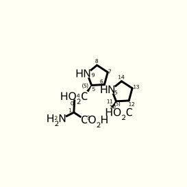 CC(N)C(=O)O.O=C(O)[C@@H]1CCCN1.O=C(O)[C@@H]1CCCN1